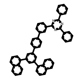 c1ccc(-c2nc(-c3ccccc3)nc(-c3cccc(-c4ccc(-c5cc(-c6cccc7ccccc67)cc(-c6cccc7ccccc67)c5)cc4)c3)n2)cc1